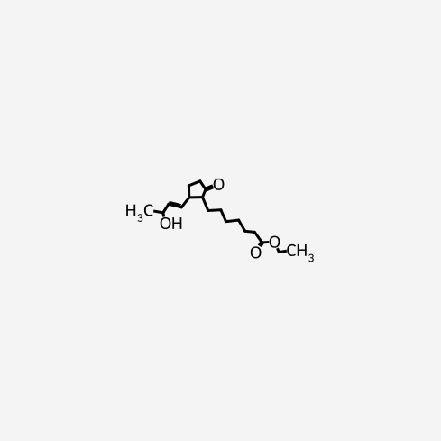 CCOC(=O)CCCCCCC1C(=O)CCC1C=CC(C)O